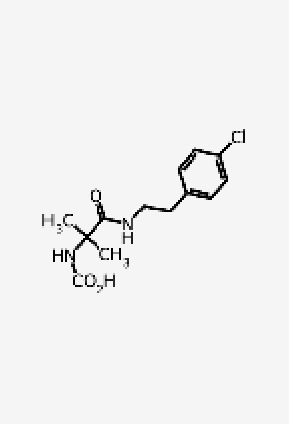 CC(C)(NC(=O)O)C(=O)NCCc1ccc(Cl)cc1